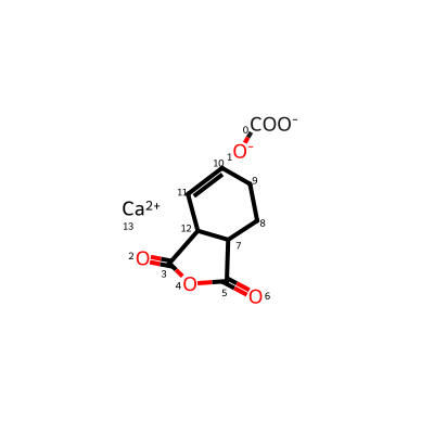 O=C([O-])[O-].O=C1OC(=O)C2CCC=CC12.[Ca+2]